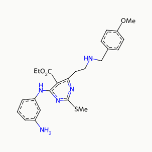 CCOC(=O)c1c(CCNCc2ccc(OC)cc2)nc(SC)nc1Nc1cccc(N)c1